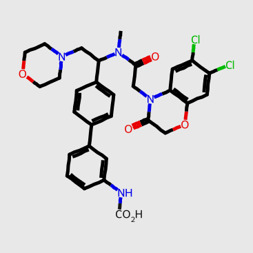 CN(C(=O)CN1C(=O)COc2cc(Cl)c(Cl)cc21)C(CN1CCOCC1)c1ccc(-c2cccc(NC(=O)O)c2)cc1